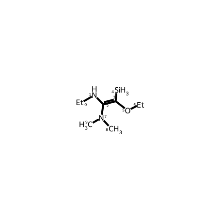 CCNC(=C([SiH3])OCC)N(C)C